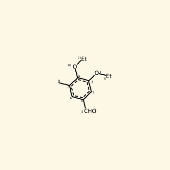 CCOc1cc(C=O)cc(C)c1OCC